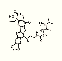 C=C(CCNC(=O)[C@H](C)NC(=O)[C@@H](N)C(C)C)c1c2c(nc3cc4c(cc13)OCO4)-c1cc3c(c(=O)n1C2)COC(=O)[C@]3(O)CC